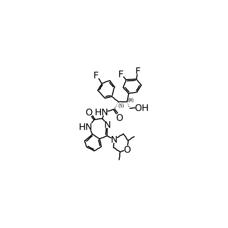 CC1CN(C2=NC(NC(=O)[C@H](c3ccc(F)cc3)[C@@H](CO)c3ccc(F)c(F)c3)C(=O)Nc3ccccc32)CC(C)O1